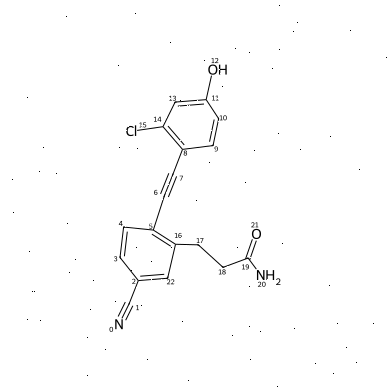 N#Cc1ccc(C#Cc2ccc(O)cc2Cl)c(CCC(N)=O)c1